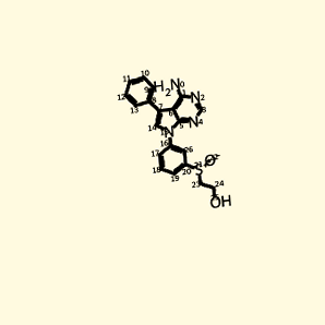 Nc1ncnc2c1c(-c1ccccc1)cn2-c1cccc([S+]([O-])CCO)c1